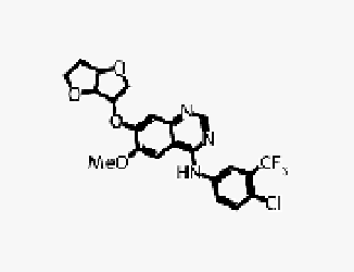 COc1cc2c(Nc3ccc(Cl)c(C(F)(F)F)c3)ncnc2cc1O[C@@H]1COC2CCOC21